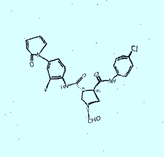 O=CN1C[C@H](C(=O)Nc2ccc(Cl)cc2)[C@@H](C(=O)Nc2ccc(-n3ccccc3=O)cc2F)C1